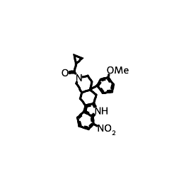 COc1cccc(C23CCN(C(=O)C4CC4)CC2Cc2c([nH]c4c([N+](=O)[O-])cccc24)C3)c1